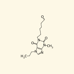 CCCn1cnc2c1c(=O)n(CCCCCC=O)c(=O)n2C